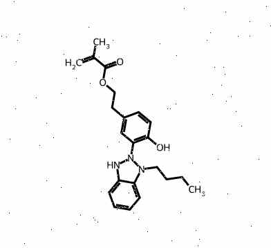 C=C(C)C(=O)OCCc1ccc(O)c(N2Nc3ccccc3N2CCCC)c1